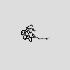 CCCCCCCCCC(n1c2cnccc2c2cccc(Br)c21)n1c2cnccc2c2cccc(Br)c21